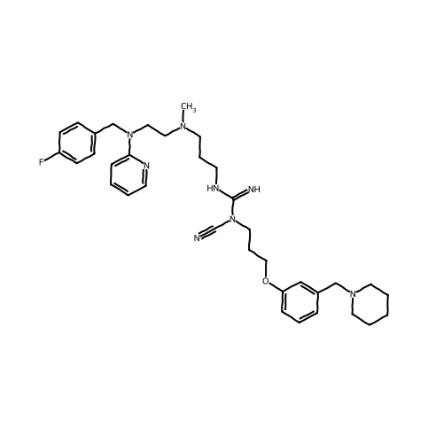 CN(CCCNC(=N)N(C#N)CCCOc1cccc(CN2CCCCC2)c1)CCN(Cc1ccc(F)cc1)c1ccccn1